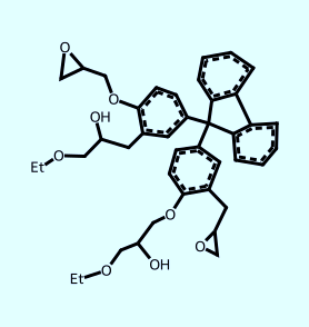 CCOCC(O)COc1ccc(C2(c3ccc(OCC4CO4)c(CC(O)COCC)c3)c3ccccc3-c3ccccc32)cc1CC1CO1